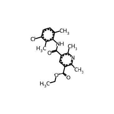 CCOC(=O)c1cc(C(=O)Nc2c(C)ccc(Cl)c2C)c(C)nc1C